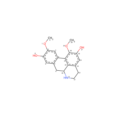 COc1cc2c(cc1O)CC1NCCc3cc(O)c(OC)c-2c31